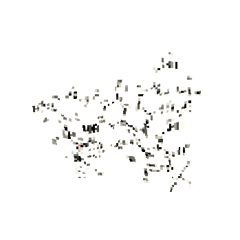 CNCC1=CC[C@@H](N/C(=N/C(=O)OC(C)(C)C)NC(=O)OC(C)(C)C)C([C@H]2[C@H](O)[C@@H](O[C@H]3OC[C@](C)(O)[C@H](N(C)C(=O)OC(C)(C)C)[C@H]3O)[C@H](NC(=O)OC(C)(C)C)C[C@@H]2NC(=O)OC(C)(C)C)O1